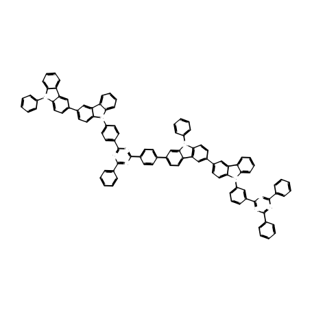 c1ccc(-c2nc(-c3ccc(-c4ccc5c6cc(-c7ccc8c(c7)c7ccccc7n8-c7cccc(-c8nc(-c9ccccc9)nc(-c9ccccc9)n8)c7)ccc6n(-c6ccccc6)c5c4)cc3)nc(-c3ccc(-n4c5ccccc5c5cc(-c6ccc7c(c6)c6ccccc6n7-c6ccccc6)ccc54)cc3)n2)cc1